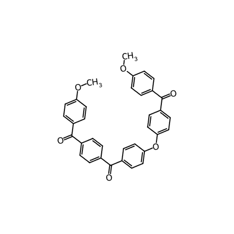 COc1ccc(C(=O)c2ccc(Oc3ccc(C(=O)c4ccc(C(=O)c5ccc(OC)cc5)cc4)cc3)cc2)cc1